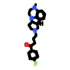 CN1CCN2c3c(cccc31)[C@@H]1CN(CCCC(=O)c3ccc(F)cc3)CCC12